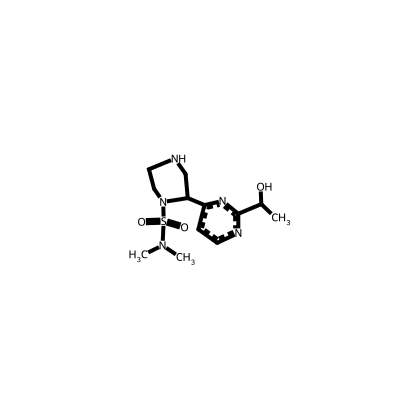 CC(O)c1nccc(C2CNCCN2S(=O)(=O)N(C)C)n1